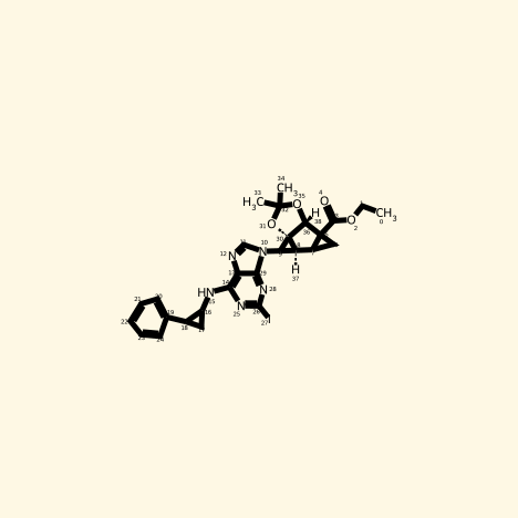 CCOC(=O)C12CC1[C@H]1C(n3cnc4c(NC5CC5c5ccccc5)nc(I)nc43)[C@]13OC(C)(C)O[C@H]23